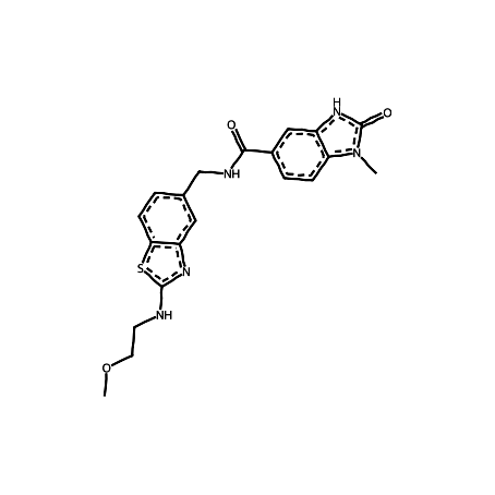 COCCNc1nc2cc(CNC(=O)c3ccc4c(c3)[nH]c(=O)n4C)ccc2s1